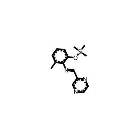 Cc1cccc(O[Si](C)(C)C)c1/N=C/c1cnccn1